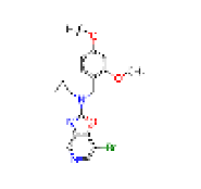 COc1ccc(CN(c2nc3cncc(Br)c3o2)C2CC2)c(OC)c1